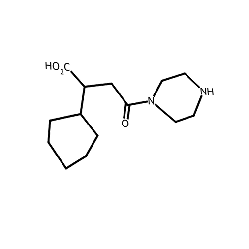 O=C(O)C(CC(=O)N1CCNCC1)C1CCCCC1